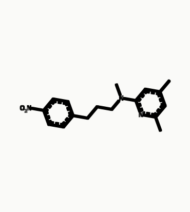 Cc1cc(C)nc(N(C)CCCc2ccc([N+](=O)[O-])cc2)c1